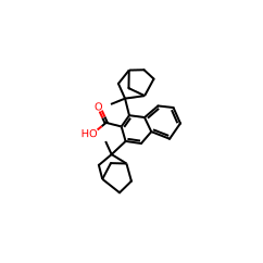 CC1(c2cc3ccccc3c(C3(C)CC4CCC3C4)c2C(=O)O)CC2CCC1C2